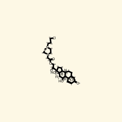 C[C@]12C=CC(=O)C=C1CC[C@@H]1[C@@H]2C(O)C[C@@]2(C)[C@H]1CC[C@]2(O)C(=O)COC(=O)CN1CCN(CCCCl)CC1